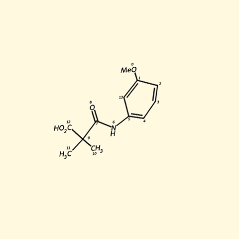 COc1cccc(NC(=O)C(C)(C)C(=O)O)c1